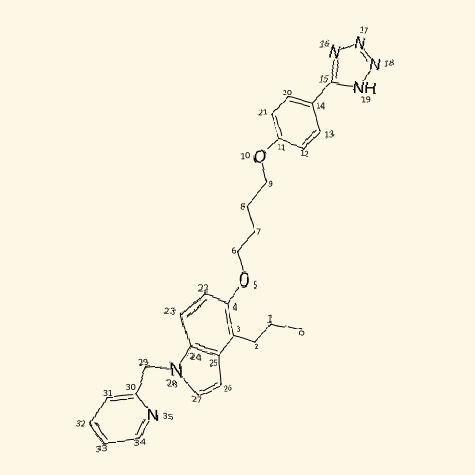 CCCc1c(OCCCCOc2ccc(-c3nnn[nH]3)cc2)ccc2c1ccn2Cc1ccccn1